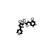 N#Cc1cc(-c2ccncc2)sc1NC(=O)Cc1ccccc1Cl